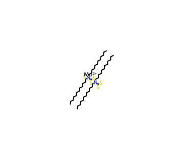 CCCCCCCCCCCCN(CCCCCCCCCCCC)C(=S)[S-].CCCCCCCCCCCCN(CCCCCCCCCCCC)C(=S)[S-].[S]=[Mo+2]